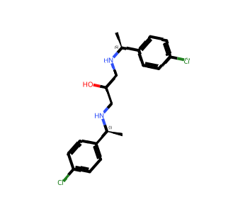 C[C@H](NCC(O)CN[C@@H](C)c1ccc(Cl)cc1)c1ccc(Cl)cc1